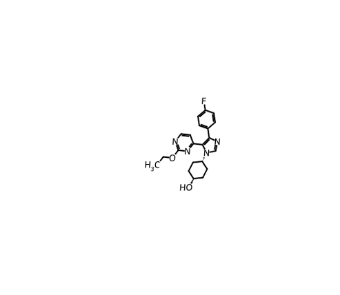 CCOc1nccc(-c2c(-c3ccc(F)cc3)ncn2[C@H]2CC[C@H](O)CC2)n1